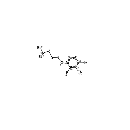 CCN(CC)CCCOc1ccc(I)c(C#N)c1F